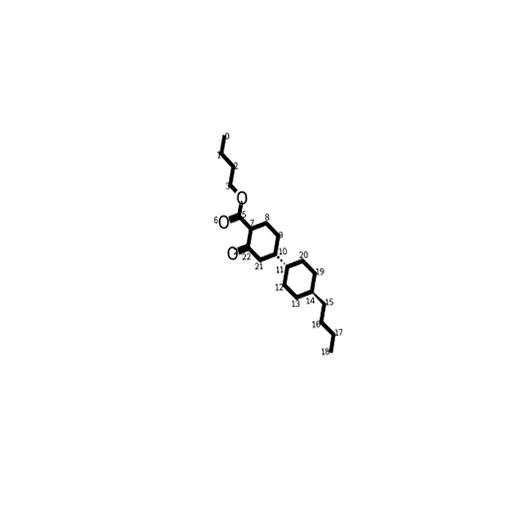 CCCCOC(=O)C1CCC([C@H]2CC[C@H](CCCC)CC2)CC1=O